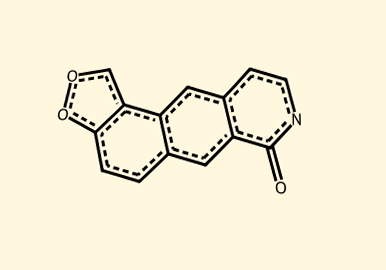 O=c1nccc2cc3c(ccc4oocc43)cc12